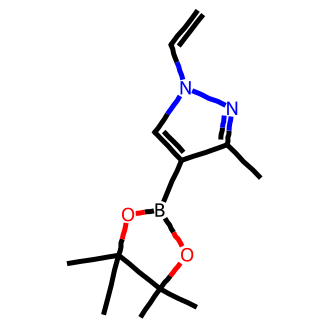 C=Cn1cc(B2OC(C)(C)C(C)(C)O2)c(C)n1